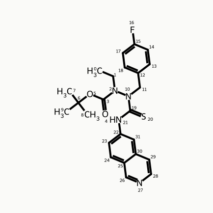 CCN(C(=O)OC(C)(C)C)N(Cc1ccc(F)cc1)C(=S)Nc1ccc2cnccc2c1